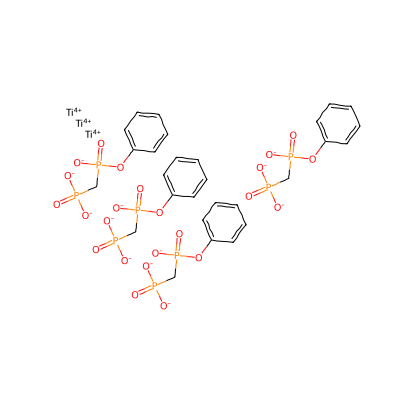 O=P([O-])([O-])CP(=O)([O-])Oc1ccccc1.O=P([O-])([O-])CP(=O)([O-])Oc1ccccc1.O=P([O-])([O-])CP(=O)([O-])Oc1ccccc1.O=P([O-])([O-])CP(=O)([O-])Oc1ccccc1.[Ti+4].[Ti+4].[Ti+4]